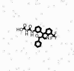 O=C(O)NC(=O)Nc1cccc(-c2c(C(=O)c3ccccc3)cnc3c(C(F)(F)F)cccc23)c1